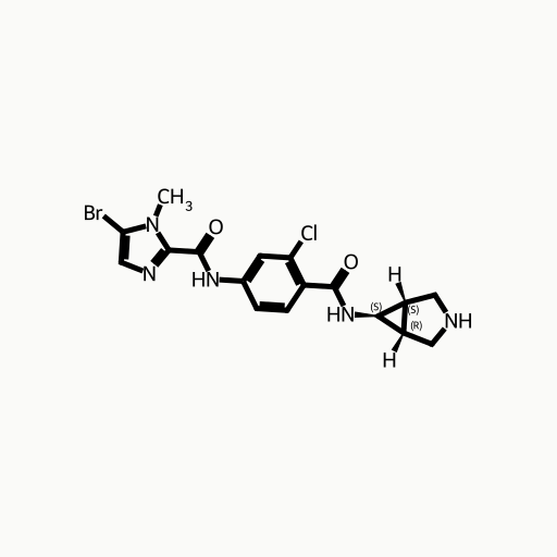 Cn1c(Br)cnc1C(=O)Nc1ccc(C(=O)N[C@H]2[C@@H]3CNC[C@@H]32)c(Cl)c1